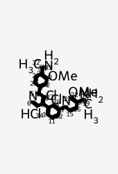 COc1cc(-c2nccc(-c3cccc(-c4ccc([C@H](C)N)c(OC)n4)c3Cl)c2Cl)ccc1[C@H](C)N.Cl